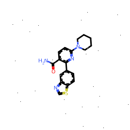 NC(=O)c1ccc(N2CCCCC2)nc1-c1ccc2scnc2c1